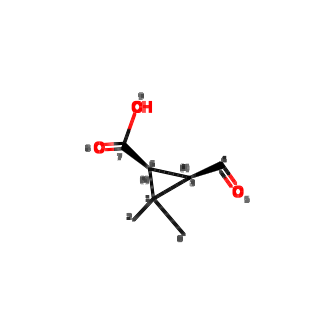 CC1(C)[C@H](C=O)[C@@H]1C(=O)O